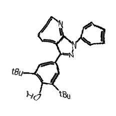 CC(C)(C)c1cc(-c2nn(-c3ccccc3)c3ncccc23)cc(C(C)(C)C)c1O